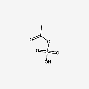 CC(=O)OS(=O)(=O)O